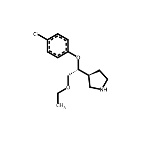 CCOC[C@H](Oc1ccc(Cl)cc1)[C@H]1CCNC1